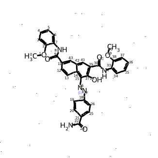 COc1ccccc1NC(=O)c1ccc2c(/N=N/c3ccc(C(N)=O)cc3)c(O)c(C(=O)Nc3ccccc3OC)cc2c1